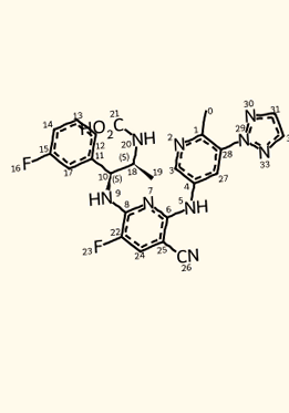 Cc1ncc(Nc2nc(N[C@@H](c3cccc(F)c3)[C@H](C)NC(=O)O)c(F)cc2C#N)cc1-n1nccn1